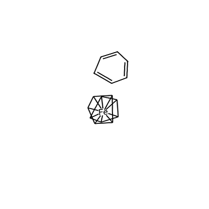 [CH]12[CH]3[CH]4[CH]5[CH]1[Fe]23451678[CH]2[CH]1[CH]6[CH]7[CH]28.c1ccccc1